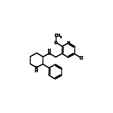 COc1ncc(Cl)cc1CNC1CCCNC1c1ccccc1